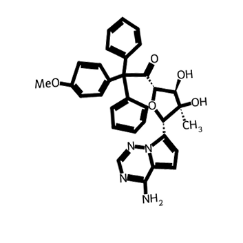 COc1ccc(C(C(=O)[C@H]2O[C@@H](c3ccc4c(N)ncnn34)[C@](C)(O)[C@@H]2O)(c2ccccc2)c2ccccc2)cc1